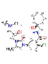 Cc1cn(-c2ccc(Cl)c(C(=O)NCC3(O)CCCCCC3)c2)c(=O)n1CC(O)CN(C)C